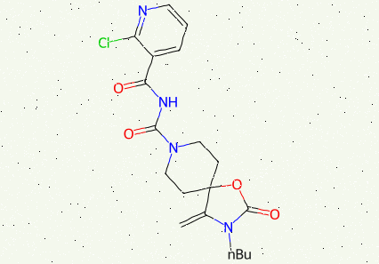 C=C1N(CCCC)C(=O)OC12CCN(C(=O)NC(=O)c1cccnc1Cl)CC2